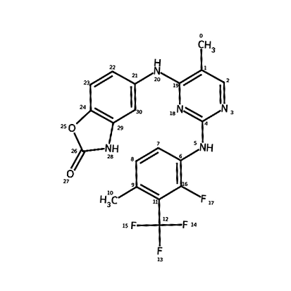 Cc1cnc(Nc2ccc(C)c(C(F)(F)F)c2F)nc1Nc1ccc2oc(=O)[nH]c2c1